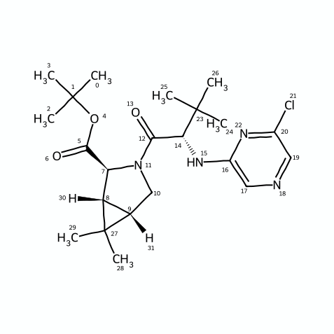 CC(C)(C)OC(=O)[C@@H]1[C@@H]2[C@H](CN1C(=O)[C@@H](Nc1cncc(Cl)n1)C(C)(C)C)C2(C)C